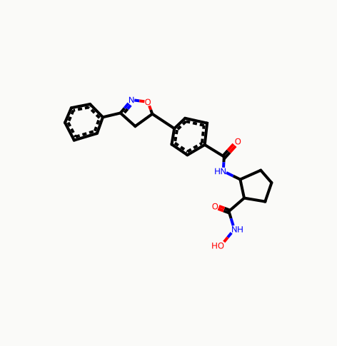 O=C(NC1CCCC1C(=O)NO)c1ccc(C2CC(c3ccccc3)=NO2)cc1